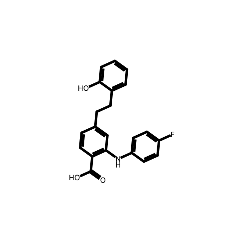 O=C(O)c1ccc(CCc2ccccc2O)cc1Nc1ccc(F)cc1